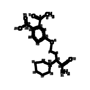 CC(=O)c1cc(OCCC(C(N)=O)N2CCCCC2)ccc1[N+](=O)[O-]